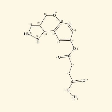 COC(=O)CCC(=O)Oc1ccc2c(c1)C1NNC=C1CO2